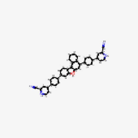 N#Cc1cc(-c2ccc(-c3ccc4c(c3)oc3cc(-c5ccc(-c6ccnc(C#N)c6)cc5)c5ccccc5c34)cc2)ccn1